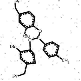 Cc1ccc(P(Oc2ccc(CC(C)C)cc2C(C)(C)C)Oc2ccc(CC(C)C)cc2C(C)(C)C)cc1